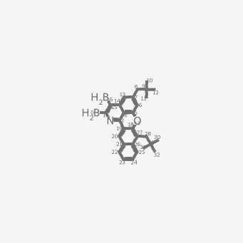 Bc1nc2c3c(cc(CC(C)(C)C)cc3c1B)Oc1c-2cc2ccccc2c1CC(C)(C)C